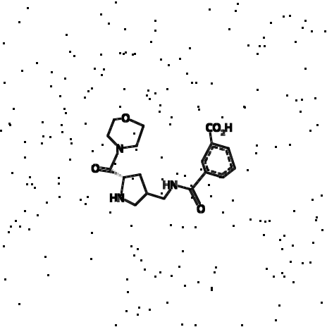 O=C(O)c1cccc(C(=O)NCC2CN[C@H](C(=O)N3CCOCC3)C2)c1